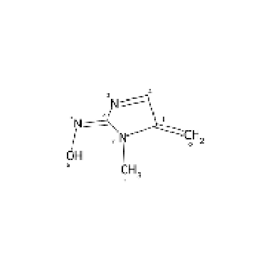 C=C1C=N/C(=N/O)N1C